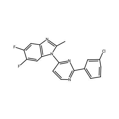 Cc1nc2cc(F)c(F)cc2n1-c1ccnc(-c2cccc(Cl)c2)n1